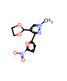 Cn1cc(C2OCCO2)c(-c2ccc([N+](=O)[O-])o2)n1